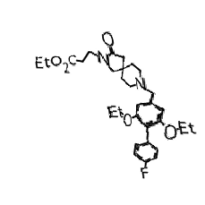 CCOC(=O)CCN1CC2(CCN(Cc3cc(OCC)c(-c4ccc(F)cc4)c(OCC)c3)CC2)CC1=O